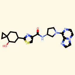 O=C(N[C@H]1CCN(c2nccn3ccnc23)C1)c1csc(C2CCC3(CC3)[C@H](O)C2)n1